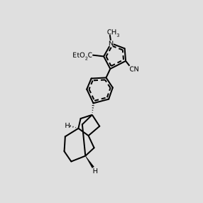 CCOC(=O)c1c(-c2ccc([C@@]34CC5C[C@H](CCC[C@H]5C3)C4)cc2)c(C#N)cn1C